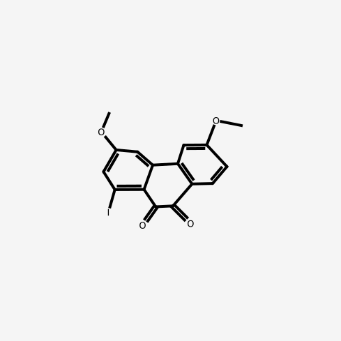 COc1ccc2c(c1)-c1cc(OC)cc(I)c1C(=O)C2=O